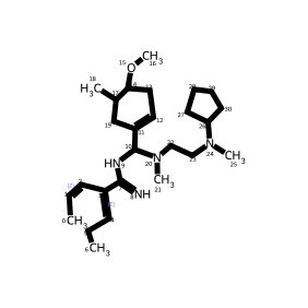 C/C=C\C(=C/CC)C(=N)NC(C1=CCC(OC)C(C)C1)N(C)CCN(C)C1CCCC1